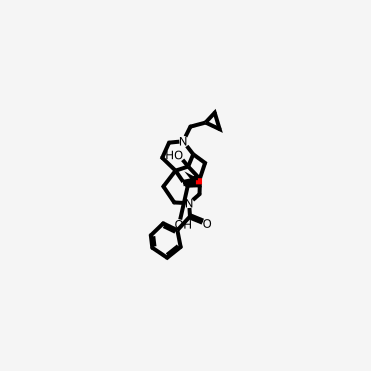 O=C(c1ccccc1)N1CCC23CCN(CC4CC4)C(Cc4ccc(O)cc42)C3(O)CC1